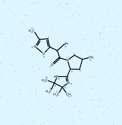 Cc1cc(C(C(=O)N2CC(O)CC2C2=NC(C)(C)C(C)(C)N2)C(C)C)on1